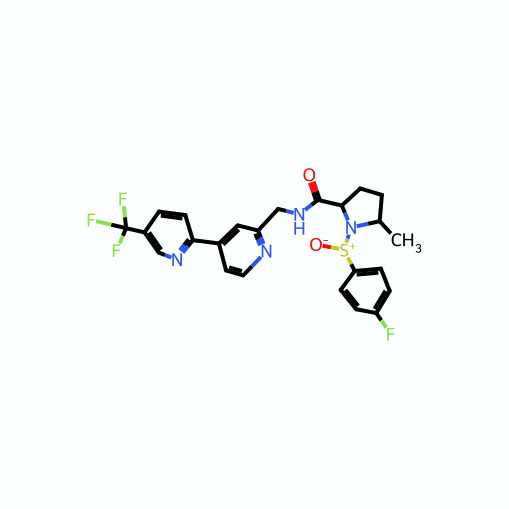 CC1CCC(C(=O)NCc2cc(-c3ccc(C(F)(F)F)cn3)ccn2)N1[S+]([O-])c1ccc(F)cc1